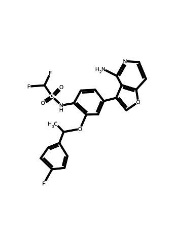 CC(Oc1cc(-c2coc3ccnc(N)c23)ccc1NS(=O)(=O)C(F)F)c1ccc(F)cc1